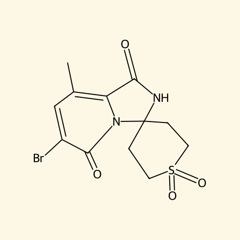 Cc1cc(Br)c(=O)n2c1C(=O)NC21CCS(=O)(=O)CC1